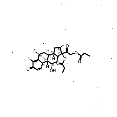 CCC(=O)OCC(=O)[C@@]1(OC(=O)CC)[C@H](C)C[C@H]2[C@@H]3C[C@H](F)C4=C(F)C(=O)C=C[C@]4(C)[C@H]3[C@@H](O)C[C@@]21C